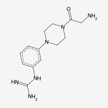 N=C(N)Nc1cccc(N2CCN(C(=O)CN)CC2)c1